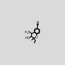 CCC1(C)Oc2ccc(C#N)cc2C(N)C1O